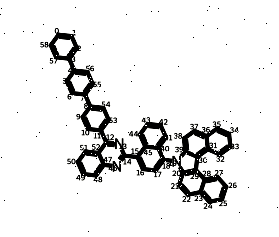 c1ccc(-c2ccc(-c3ccc(-c4nc(-c5ccc(-n6c7ccc8ccccc8c7c7c8ccccc8ccc76)c6ccccc56)nc5ccccc45)cc3)cc2)cc1